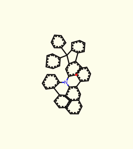 c1ccc(-c2ccccc2N(c2ccc3c(c2)C(c2ccccc2)(c2ccccc2)c2ccccc2-3)c2cc3ccccc3cc2-c2ccccc2)cc1